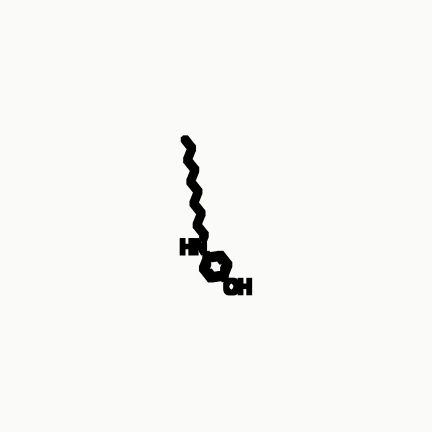 CCCCCCCCCCNc1ccc(O)cc1